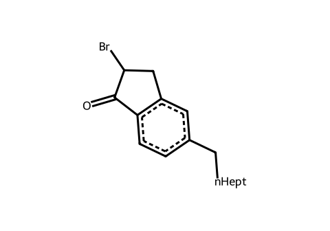 CCCCCCCCc1ccc2c(c1)CC(Br)C2=O